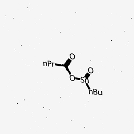 CCC[CH2][Sn](=[O])[O]C(=O)CCC